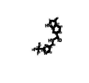 Cc1c[nH]c2cc(C(=O)NCc3cnc(C(F)(F)F)s3)ccc12